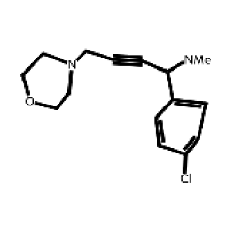 CNC(C#CCN1CCOCC1)c1ccc(Cl)cc1